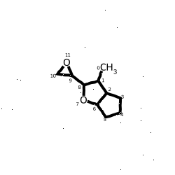 CC1C2CCCC2OC1C1CO1